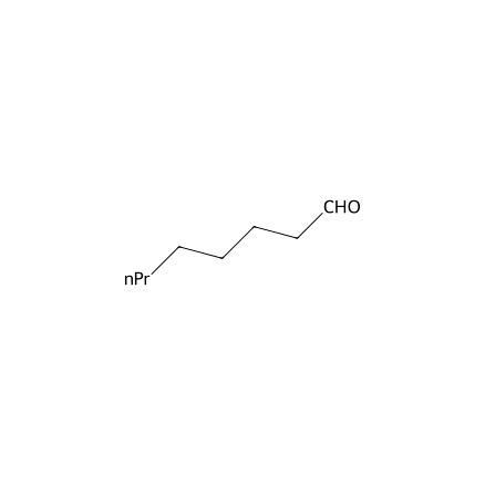 [CH2]CCCCCCC=O